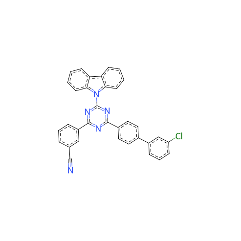 N#Cc1cccc(-c2nc(-c3ccc(-c4cccc(Cl)c4)cc3)nc(-n3c4ccccc4c4ccccc43)n2)c1